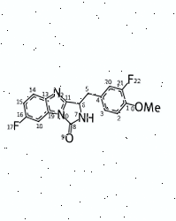 COc1ccc(CC2NC(=O)n3c2nc2ccc(F)cc23)cc1F